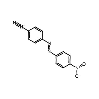 N#[N+]c1ccc(N=Nc2ccc([N+](=O)[O-])cc2)cc1